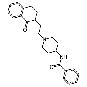 O=C(NC1CCN(CCC2CCc3ccccc3C2=O)CC1)c1ccccc1